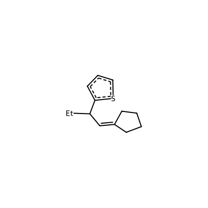 [CH2]CC(C=C1CCCC1)c1cccs1